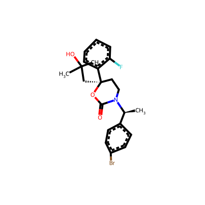 C[C@@H](c1ccc(Br)cc1)N1CC[C@](CC(C)(C)O)(c2ccccc2F)OC1=O